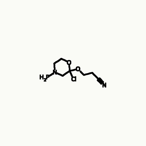 N#CCCOC1(Cl)CN(P)CCO1